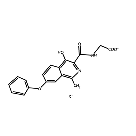 Cc1nc(C(=O)NCC(=O)[O-])c(O)c2ccc(Oc3ccccc3)cc12.[K+]